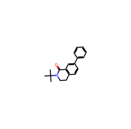 CC(C)(C)N1CCc2ccc(-c3ccccc3)cc2C1=O